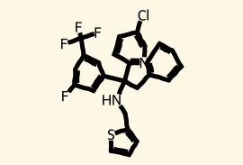 Fc1cc(C(F)(F)F)cc(C(Cc2ccccc2)(NCc2cccs2)c2ccc(Cl)cn2)c1